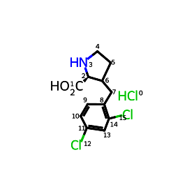 Cl.O=C(O)[C@H]1NCCC1Cc1ccc(Cl)cc1Cl